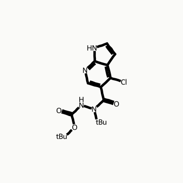 CC(C)(C)OC(=O)NN(C(=O)c1cnc2[nH]ccc2c1Cl)C(C)(C)C